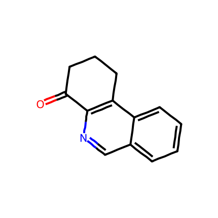 O=C1CCCc2c1ncc1ccccc21